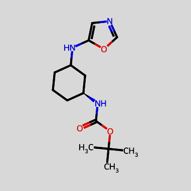 CC(C)(C)OC(=O)N[C@H]1CCCC(Nc2cnco2)C1